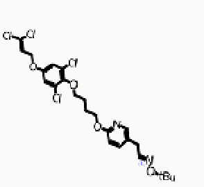 CC(C)(C)O/N=C/Cc1ccc(OCCCCOc2c(Cl)cc(OCC=C(Cl)Cl)cc2Cl)nc1